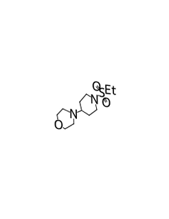 CCS(=O)(=O)N1CCC(N2CCOCC2)CC1